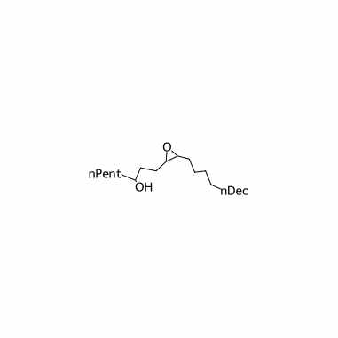 CCCCCCCCCCCCCCC1OC1CCC(O)CCCCC